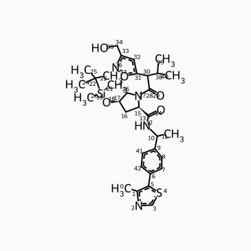 Cc1ncsc1-c1ccc(C(C)NC(=O)[C@H]2C[C@@H](O[Si](C)(C)C(C)(C)C)CN2C(=O)C(c2cc(CO)no2)C(C)C)cc1